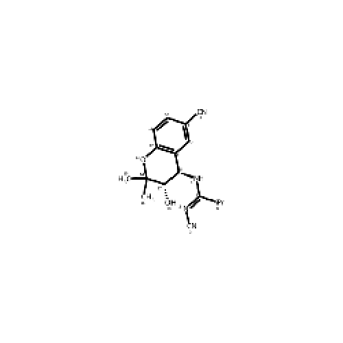 CC(C)C(=NC#N)N[C@@H]1c2cc(C#N)ccc2OC(C)(C)[C@H]1O